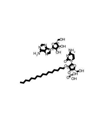 CCCCCCCCCCCCCCCCO[C@@H]1[C@H](OP(=O)(O)O)[C@@H](CO)O[C@H]1n1ccc(N)nc1=O.Nc1ncnc2c1ncn2[C@@H]1O[C@H](CO)[C@@H](O)[C@H]1O